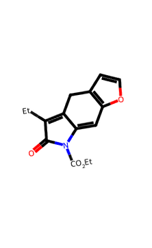 CCOC(=O)N1C(=O)C(CC)=C2Cc3ccoc3C=C21